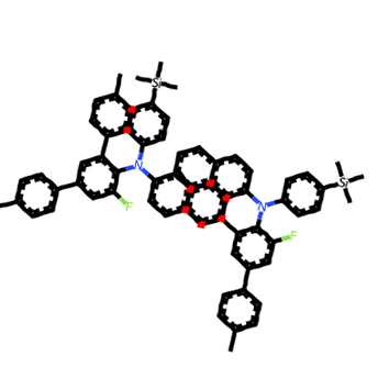 Cc1ccc(-c2cc(F)c(N(c3ccc([Si](C)(C)C)cc3)c3ccc4ccc5c(N(c6ccc([Si](C)(C)C)cc6)c6c(F)cc(-c7ccc(C)cc7)cc6-c6ccc(C)cc6)ccc6ccc3c4c65)c(-c3ccc(C)cc3)c2)cc1